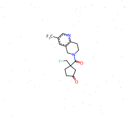 O=C1CCC(CF)(C(=O)N2CCc3ncc(C(F)(F)F)cc3C2)C1